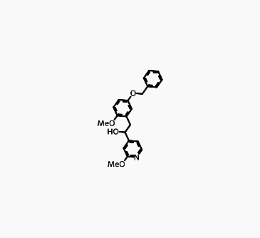 COc1cc(C(O)Cc2cc(OCc3ccccc3)ccc2OC)ccn1